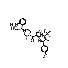 COc1ccc(-c2nc3c(C(=O)N4CCN([C@H](CO)c5ccccc5N)C[C@H]4C)cnn3c(C(F)(F)F)c2C)cc1